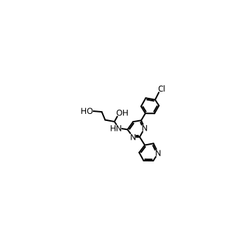 OCCC(O)Nc1cc(-c2ccc(Cl)cc2)nc(-c2cccnc2)n1